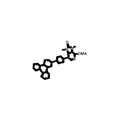 COc1ncc(-c2ccc(-c3ccc4c5ccccc5c5ccccc5c4c3)cc2)c2c1n(C)c(=O)n2C